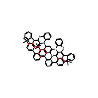 CC(C)(C)c1ccc(-c2ccccc2N2c3cc4c(cc3B3c5ccccc5Sc5c3c2cc2oc3ccccc3c52)B2c3ccccc3Sc3c2c(cc2oc5ccccc5c32)N4c2c(-c3ccc(C(C)(C)C)cc3)cccc2-c2ccc(C(C)(C)C)cc2)cc1